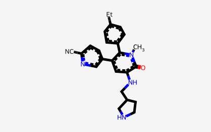 CCc1ccc(-c2c(-c3ccc(C#N)nc3)cc(NCC3CCNC3)c(=O)n2C)cc1